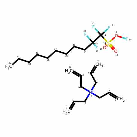 C=CC[N+](CC=C)(CC=C)CC=C.O=S(=O)(OF)C(F)(F)C(F)(F)CCCCCCCCC(F)(F)F